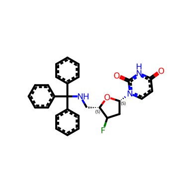 O=c1ccn([C@@H]2CC(F)[C@H](CNC(c3ccccc3)(c3ccccc3)c3ccccc3)O2)c(=O)[nH]1